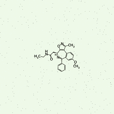 CCNC(=O)C[C@@H]1N=C(c2ccccc2)c2cc(OC)ccc2-c2c(C)noc21